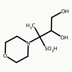 CC(C(O)CO)(N1CCOCC1)S(=O)(=O)O